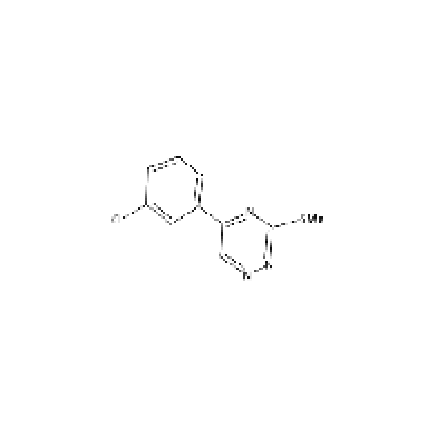 CSc1nncc(-c2cccc(Cl)c2)n1